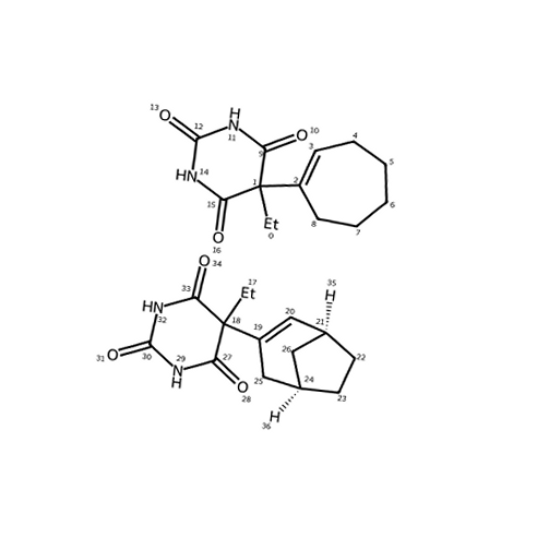 CCC1(C2=CCCCCC2)C(=O)NC(=O)NC1=O.CCC1(C2=C[C@H]3CC[C@@H](C2)C3)C(=O)NC(=O)NC1=O